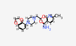 Cc1ccc(C(N)=O)c(OCCN2CCN(c3cccc4c3OCCO4)CC2)n1